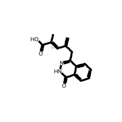 C=C(/C=C(\C)C(=O)O)Cc1n[nH]c(=O)c2ccccc12